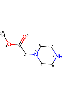 [2H]OC(=O)CN1CCNCC1